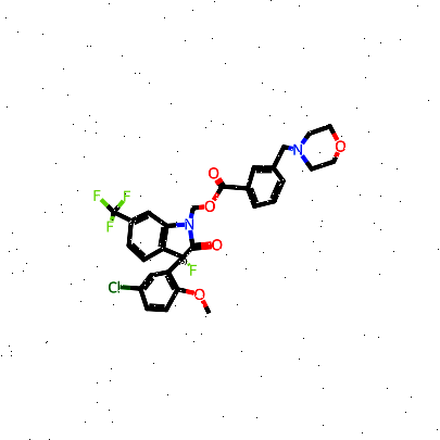 COc1ccc(Cl)cc1[C@]1(F)C(=O)N(COC(=O)c2cccc(CN3CCOCC3)c2)c2cc(C(F)(F)F)ccc21